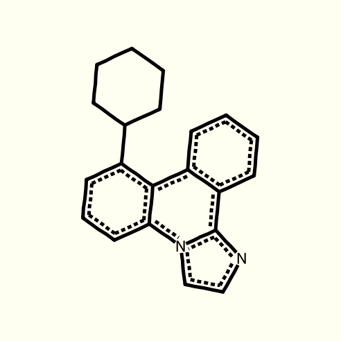 c1ccc2c(c1)c1c(C3CCCCC3)cccc1n1ccnc21